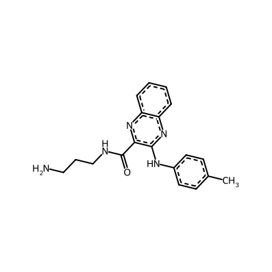 Cc1ccc(Nc2nc3ccccc3nc2C(=O)NCCCN)cc1